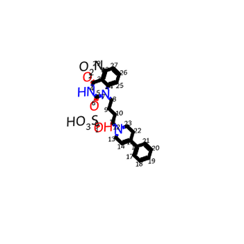 O=S(=O)(O)O.O=c1[nH]c(=O)n(CCCCN2CC=C(c3ccccc3)CC2)c2cccc([N+](=O)[O-])c12